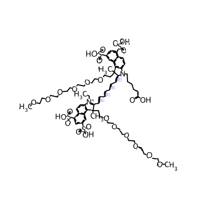 CC[N+]1=C(/C=C/C=C/C=C/C=C2/N(CCCCCC(=O)O)c3ccc4c(S(=O)(=O)O)cc(S(=O)(=O)O)cc4c3C2(C)CCOCCOCCOCCOCCOCCOC)C(C)(CCOCCOCCOCCOCCOCCOC)c2c1ccc1c(S(=O)(=O)O)cc(S(=O)(=O)O)cc21